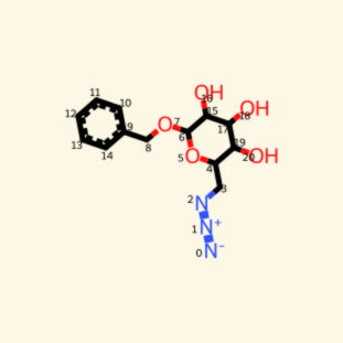 [N-]=[N+]=NCC1OC(OCc2ccccc2)C(O)C(O)C1O